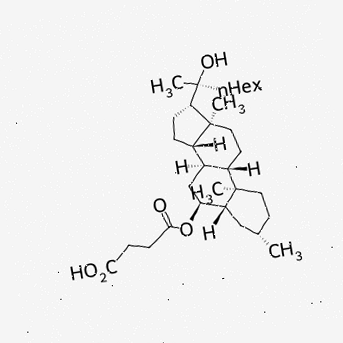 CCCCCC[C@](C)(O)[C@H]1CC[C@H]2[C@@H]3C[C@H](OC(=O)CCC(=O)O)[C@H]4C[C@@H](C)CC[C@]4(C)[C@H]3CC[C@@]21C